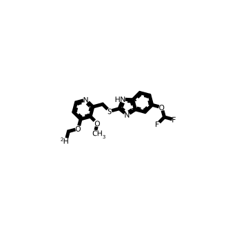 [2H]COc1ccnc(CSc2nc3cc(OC(F)F)ccc3[nH]2)c1OC